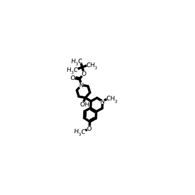 COc1ccc2c(c1)CN(C)CC2C1(O)CCN(C(=O)OC(C)(C)C)CC1